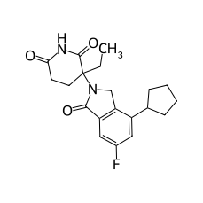 CCC1(N2Cc3c(cc(F)cc3C3CCCC3)C2=O)CCC(=O)NC1=O